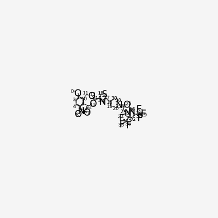 COc1ccc([N+](=O)[O-])c2c1COC(c1csc(C3CCN(C(=O)Cn4nc(C(F)(F)F)cc4C(F)(F)F)CC3)n1)OC2